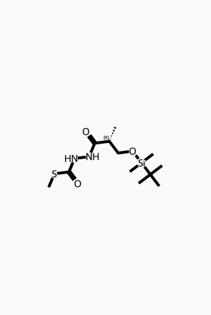 CSC(=O)NNC(=O)[C@H](C)CO[Si](C)(C)C(C)(C)C